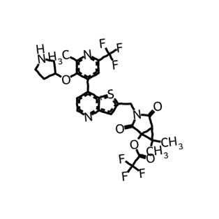 Cc1nc(C(F)(F)F)cc(-c2ccnc3cc(CN4C(=O)C5C(C)(C)C5(OC(=O)C(F)(F)F)C4=O)sc23)c1OC1CCNC1